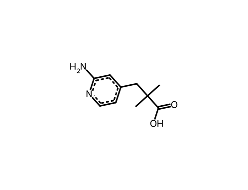 CC(C)(Cc1ccnc(N)c1)C(=O)O